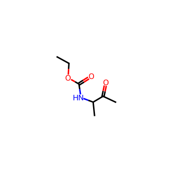 CCOC(=O)NC(C)C(C)=O